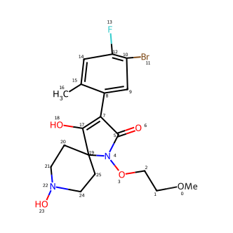 COCCON1C(=O)C(c2cc(Br)c(F)cc2C)=C(O)C12CCN(O)CC2